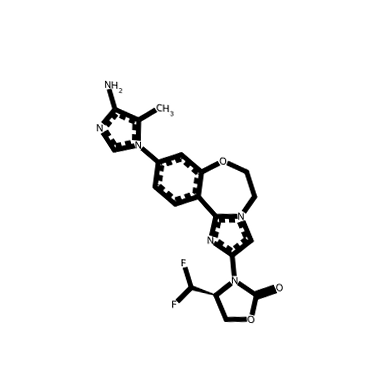 Cc1c(N)ncn1-c1ccc2c(c1)OCCn1cc(N3C(=O)OC[C@H]3C(F)F)nc1-2